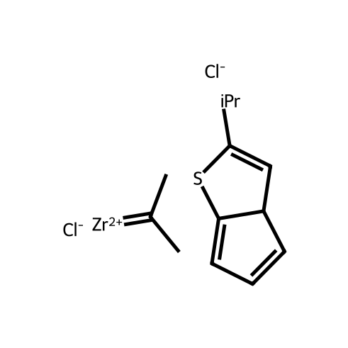 CC(C)C1=CC2C=CC=C2S1.C[C](C)=[Zr+2].[Cl-].[Cl-]